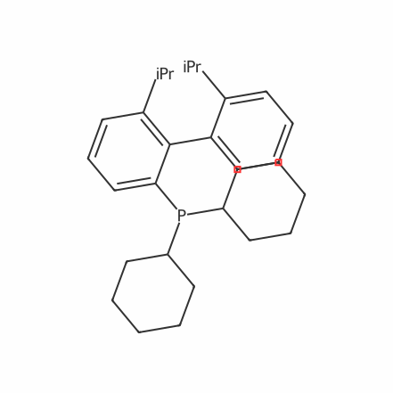 CC(C)c1ccccc1-c1c(C(C)C)cccc1P(C1CCCCC1)C1CCCCC1